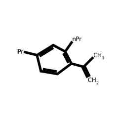 C=C(C)c1ccc(C(C)C)cc1CCC